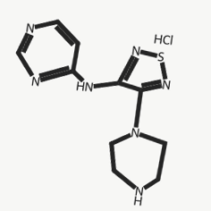 Cl.c1cc(Nc2nsnc2N2CCNCC2)ncn1